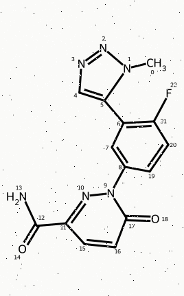 Cn1nncc1-c1cc(-n2nc(C(N)=O)ccc2=O)ccc1F